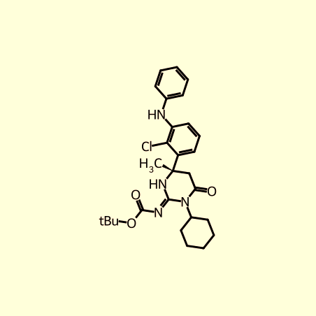 CC(C)(C)OC(=O)N=C1N[C@](C)(c2cccc(Nc3ccccc3)c2Cl)CC(=O)N1C1CCCCC1